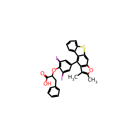 Cc1oc2cc3sc4ccccc4c3c(-c3cc(I)c(OC(Cc4ccccc4)C(=O)O)c(I)c3)c2c1C